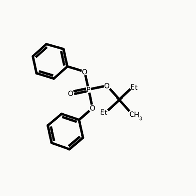 CCC(C)(CC)OP(=O)(Oc1ccccc1)Oc1ccccc1